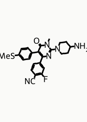 CSc1ccc(-c2c(-c3ccc(C#N)c(F)c3)nc(N3CCC(N)CC3)n(C)c2=O)cc1